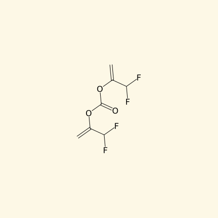 C=C(OC(=O)OC(=C)C(F)F)C(F)F